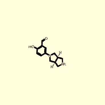 O=Cc1cc(N2C[C@H]3CNC[C@H]3C2)ccc1O